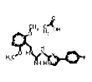 CC(=O)O.COc1cccc(OC)c1CNC(=N)Nc1nc(-c2ccc(F)cc2)c[nH]1